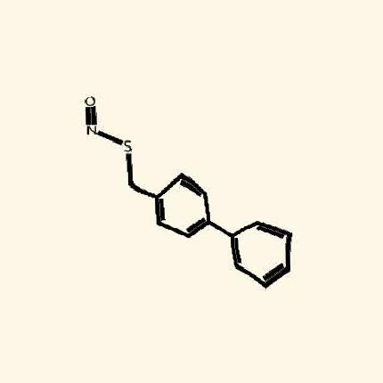 O=NSCc1ccc(-c2ccccc2)cc1